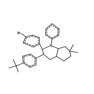 CC1(C)CCC2CC(c3ccc(C(C)(C)C)cc3)C(c3ccc(Br)cc3)N(c3ccccc3)C2C1